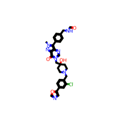 Cn1nc2c(=O)n(CC3(O)CCN(Cc4ccc(-c5cnco5)cc4Cl)CC3)cnc2c1-c1ccc(CNC=O)cc1